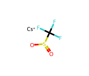 O=S([O-])C(F)(F)F.[Cs+]